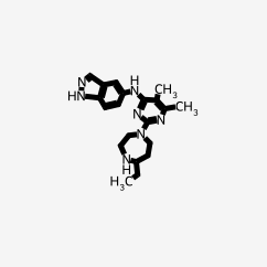 CCC1CCN(c2nc(C)c(C)c(Nc3ccc4[nH]ncc4c3)n2)CCN1